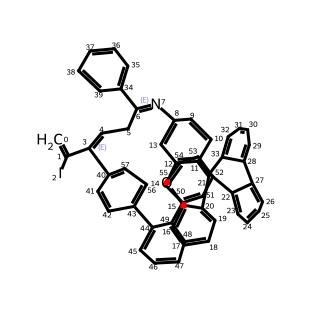 C=C(I)/C(=C/C/C(=N\c1ccc2c(c1)Oc1ccccc1C21c2ccccc2-c2ccccc21)c1ccccc1)c1ccc(-c2ccccc2-c2ccccc2)cc1